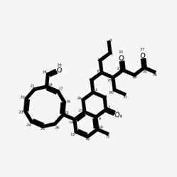 CCCC(CC1CC(=O)c2c(C)ccc(/C3=C/C=C(/C=O)C/C=C\C=C/C3)c2C1)C(CC)C(=O)CC(C)=O